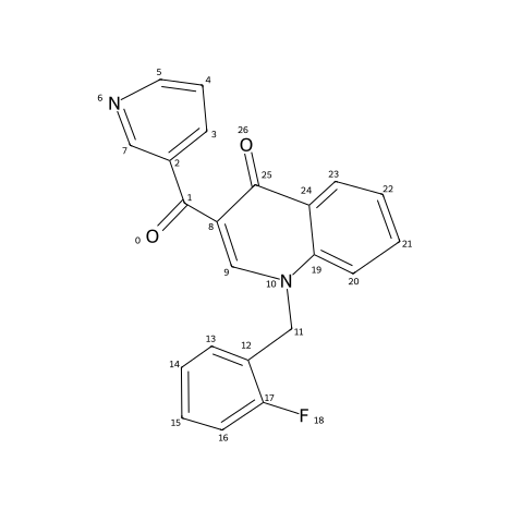 O=C(c1cccnc1)c1cn(Cc2ccccc2F)c2ccccc2c1=O